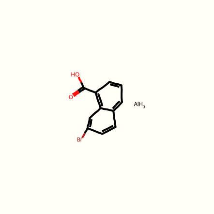 O=C(O)c1cccc2ccc(Br)cc12.[AlH3]